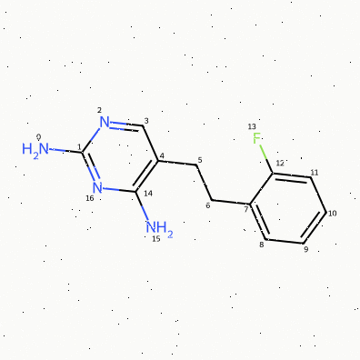 Nc1ncc(CCc2ccccc2F)c(N)n1